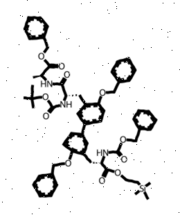 C[C@H](NC(=O)[C@H](Cc1cc(-c2ccc(OCc3ccccc3)c(C[C@H](NC(=O)OCc3ccccc3)C(=O)OCC[Si](C)(C)C)c2)ccc1OCc1ccccc1)NC(=O)OC(C)(C)C)C(=O)OCc1ccccc1